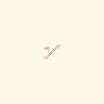 O=C=O.[OH]